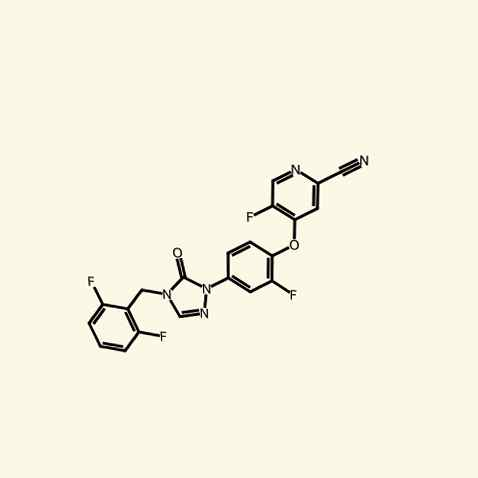 N#Cc1cc(Oc2ccc(-n3ncn(Cc4c(F)cccc4F)c3=O)cc2F)c(F)cn1